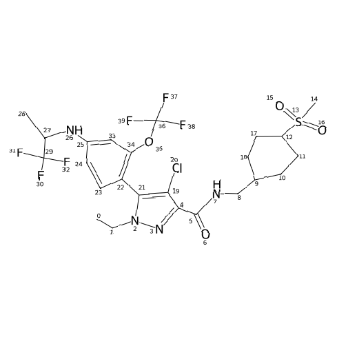 CCn1nc(C(=O)NCC2CCC(S(C)(=O)=O)CC2)c(Cl)c1-c1ccc(NC(C)C(F)(F)F)cc1OC(F)(F)F